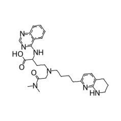 CN(C)C(=O)CN(CCCCc1ccc2c(n1)NCCC2)CCC(Nc1ncnc2ccccc12)C(=O)O